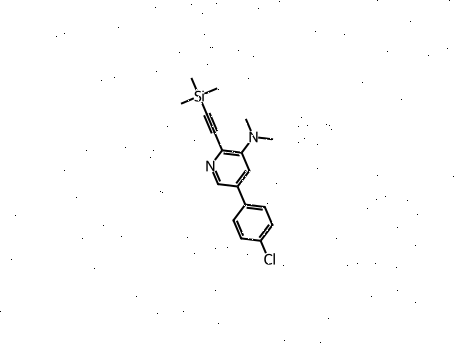 CN(C)c1cc(-c2ccc(Cl)cc2)cnc1C#C[Si](C)(C)C